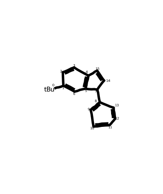 CC(C)(C)c1ccc2c(c1)C(c1ccccc1)C=C2